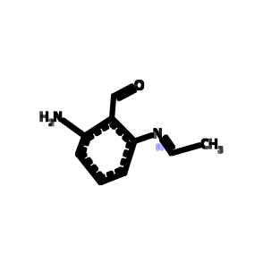 C/C=N/c1cccc(N)c1C=O